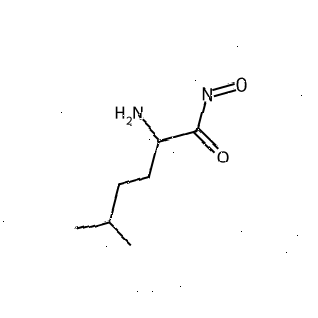 CC(C)CCC(N)C(=O)N=O